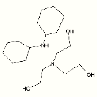 C1CCC(NC2CCCCC2)CC1.OCCN(CCO)CCO